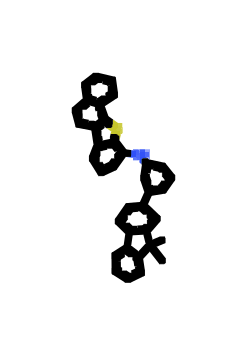 CC1(C)c2ccccc2-c2ccc(-c3cccc(Nc4cccc5c4sc4c6ccccc6ccc54)c3)cc21